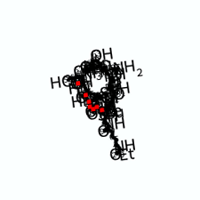 CCC(=O)NCCCCC(=O)NCCSCc1c(OC)ccc2c3c([nH]c12)[S+]([O-])C[C@@H]1NC(=O)CNC(=O)[C@H]([C@@H](C)CC)NC(=O)CNC(=O)[C@H](C3)NC(=O)[C@H]([C@@H](C)[C@@H](O)CO)NC(=O)[C@@H]2C[C@@H](O)CN2C(=O)[C@H](CC(N)=O)NC1=O